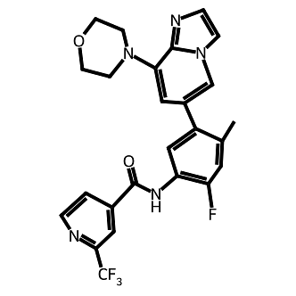 Cc1cc(F)c(NC(=O)c2ccnc(C(F)(F)F)c2)cc1-c1cc(N2CCOCC2)c2nccn2c1